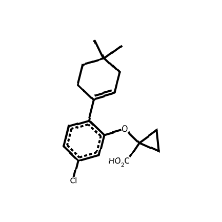 CC1(C)CC=C(c2ccc(Cl)cc2OC2(C(=O)O)CC2)CC1